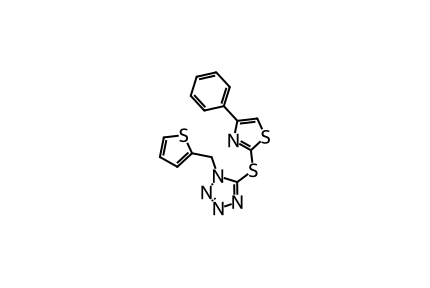 c1ccc(-c2csc(Sc3nnnn3Cc3cccs3)n2)cc1